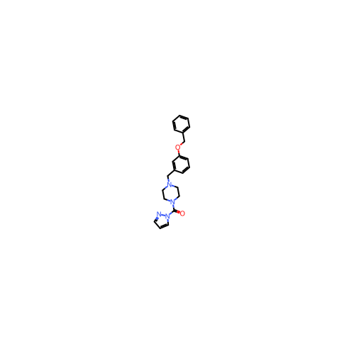 O=C(N1CCN(Cc2cccc(OCc3ccccc3)c2)CC1)n1cccn1